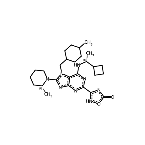 CC1CCC(Cn2c(N3CCCC[C@H]3C)nc3nc(-c4nc(=O)o[nH]4)nc(N[C@H](C)C4CCC4)c32)CC1